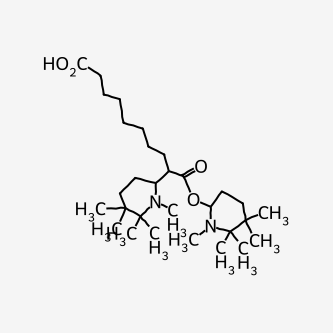 CN1C(OC(=O)C(CCCCCCCC(=O)O)C2CCC(C)(C)C(C)(C)N2C)CCC(C)(C)C1(C)C